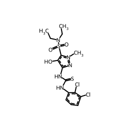 CCN(CC)S(=O)(=O)c1c(O)c(NC(=S)Nc2cccc(Cl)c2Cl)nn1C